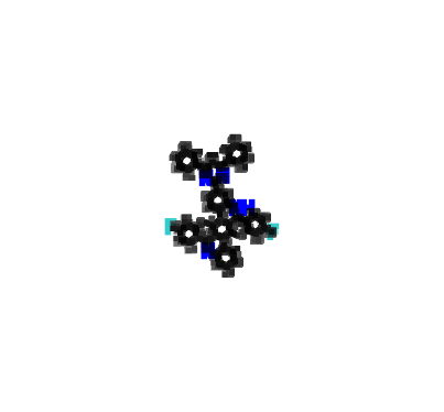 Cc1c2c(c(C)c3c1c(-c1ccc(F)cc1)nc1ccccc13)C(c1ccc(F)cc1)Nc1cc(-c3nc(-c4ccccc4)cc(-c4ccccc4)n3)ccc1-2